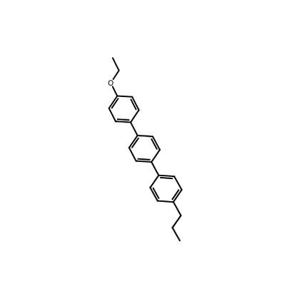 CCCc1ccc(-c2ccc(-c3ccc(OCC)cc3)cc2)cc1